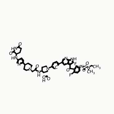 CCN(C)S(=O)(=O)Nc1ccc(F)c(C(=O)c2c[nH]c3ncc(-c4ccc(N5CCC(NC(=O)CN6CCC(c7ccc(NC8CCC(=O)NC8=O)cn7)CC6)CC5)cc4)cc23)c1F.O=CO